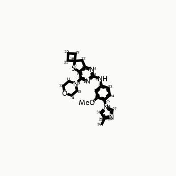 COc1cc(Nc2nc3c(c(N4CCOCC4)n2)SC2(CCC2)C3)ccc1-n1cnc(C)c1